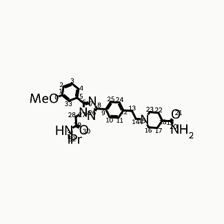 COc1cccc(-c2nc(-c3ccc(CCN4CCC(C(N)=O)CC4)cc3)nn2CC(=O)NC(C)C)c1